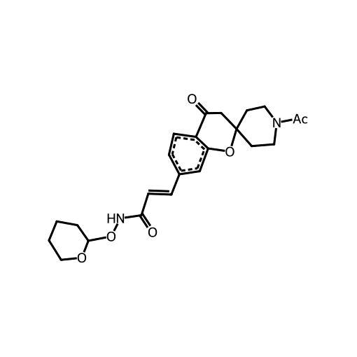 CC(=O)N1CCC2(CC1)CC(=O)c1ccc(C=CC(=O)NOC3CCCCO3)cc1O2